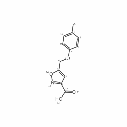 Cc1ccc(OCc2cc(C(=O)O)no2)cc1